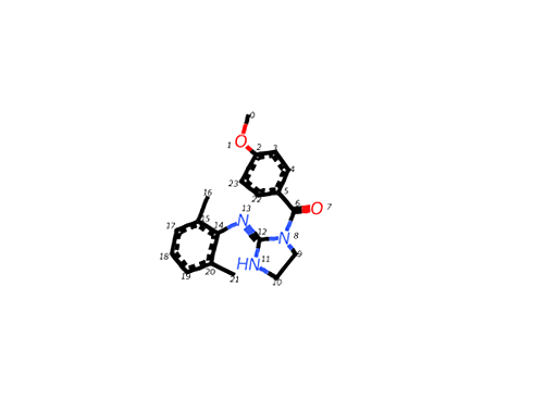 COc1ccc(C(=O)N2CCNC2=Nc2c(C)cccc2C)cc1